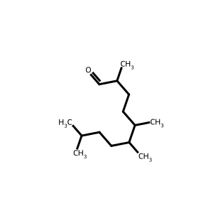 CC(C)CCC(C)C(C)CCC(C)C=O